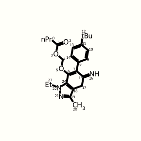 CCCC(=O)OCOC1=C(c2ccc(C(C)(C)C)cc2)C(=N)Cc2c(C)nn(CC)c21